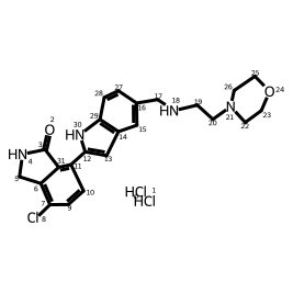 Cl.Cl.O=C1NCc2c(Cl)ccc(-c3cc4cc(CNCCN5CCOCC5)ccc4[nH]3)c21